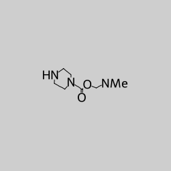 CNCOC(=O)N1CCNCC1